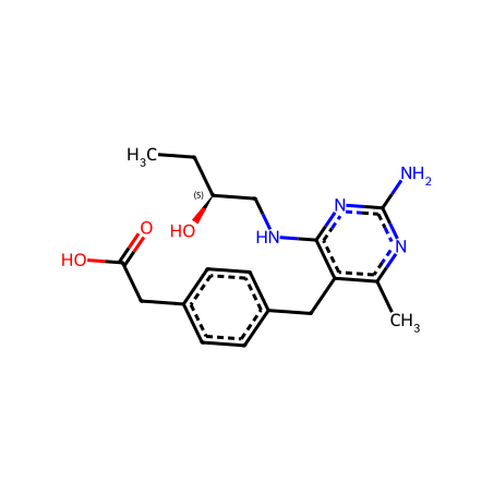 CC[C@H](O)CNc1nc(N)nc(C)c1Cc1ccc(CC(=O)O)cc1